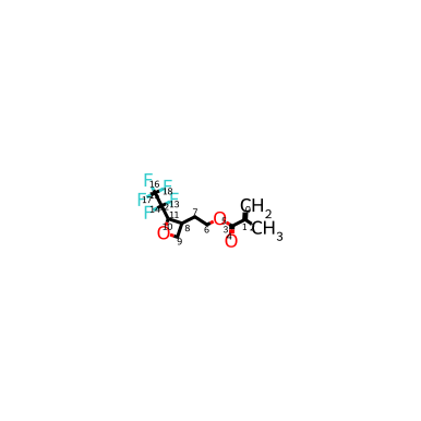 C=C(C)C(=O)OCCC1COC1C(F)(F)C(F)(F)F